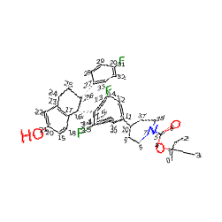 CC(C)(C)OC(=O)N1CCC(c2cc(F)c([C@@H]3c4ccc(O)cc4CC[C@@H]3c3ccc(F)cc3)c(F)c2)CC1